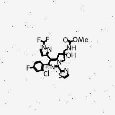 COC(=O)NC[C@@]1(O)CC2=C(c3ccn(C(F)F)n3)[C@H](c3ccc(F)cc3Cl)N=C(c3nccs3)N2C1